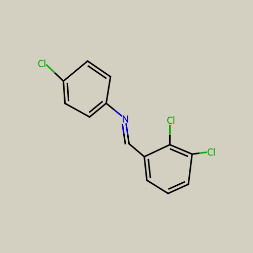 Clc1ccc(N=Cc2cccc(Cl)c2Cl)cc1